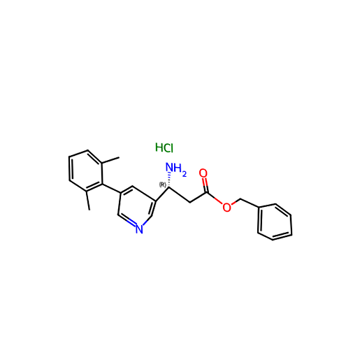 Cc1cccc(C)c1-c1cncc([C@H](N)CC(=O)OCc2ccccc2)c1.Cl